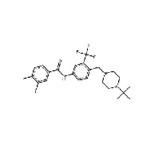 Cc1ccc(C(=O)Nc2ccc(CN3CCN(C(C)(C)C)CC3)c(C(F)(F)F)c2)cc1I